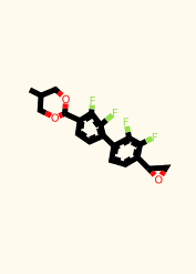 CC1COC(c2ccc(-c3ccc(C4CO4)c(F)c3F)c(F)c2F)OC1